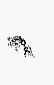 BC1(B)N(c2cc(-c3cc(C#N)c4c(N)ncnn34)ccc2F)C(=O)C(C)(C)N(C(C)=O)C1(B)O